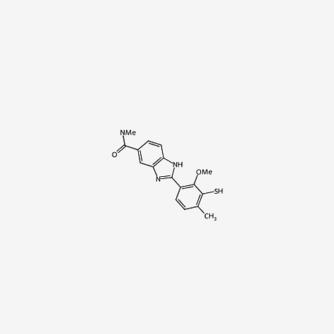 CNC(=O)c1ccc2[nH]c(-c3ccc(C)c(S)c3OC)nc2c1